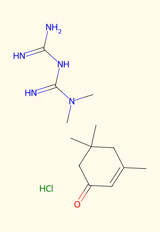 CC1=CC(=O)CC(C)(C)C1.CN(C)C(=N)NC(=N)N.Cl